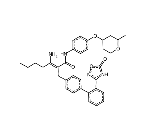 CCCC/C(N)=C(\Cc1ccc(-c2ccccc2-c2noc(=O)[nH]2)cc1)C(=O)Nc1ccc(OC2CCOC(C)C2)cc1